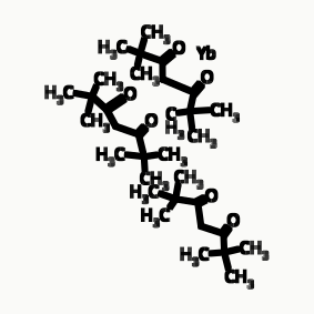 CC(C)(C)C(=O)CC(=O)C(C)(C)C.CC(C)(C)C(=O)CC(=O)C(C)(C)C.CC(C)(C)C(=O)CC(=O)C(C)(C)C.[Yb]